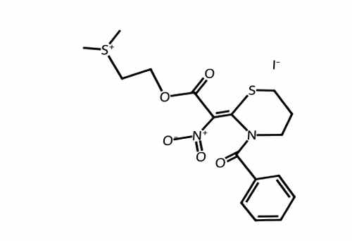 C[S+](C)CCOC(=O)C(=C1SCCCN1C(=O)c1ccccc1)[N+](=O)[O-].[I-]